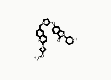 COC1CN(c2ccc3cc(CN4CC[C@H](Oc5ccc6c(c5)CN(C5CCCNC5)C6=O)C4)ccc3n2)C1